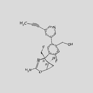 CC#Cc1cncc(-c2cc([C@@]3(CF)N=C(N)OC4C[C@@H]43)c(F)cc2CO)c1